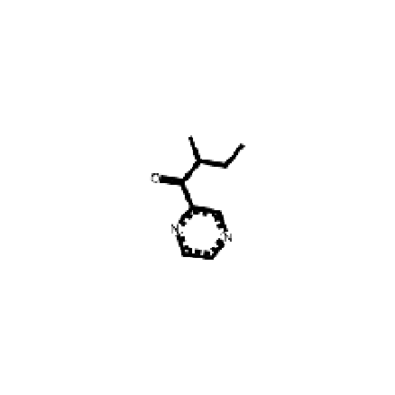 CCC(C)C(=O)c1cnccn1